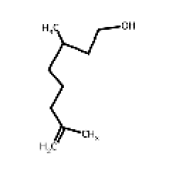 C=C(C)CCCC(C)CCO